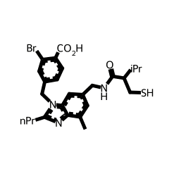 CCCc1nc2c(C)cc(CNC(=O)C(CS)C(C)C)cc2n1Cc1ccc(C(=O)O)c(Br)c1